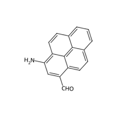 Nc1cc(C=O)c2ccc3cccc4ccc1c2c43